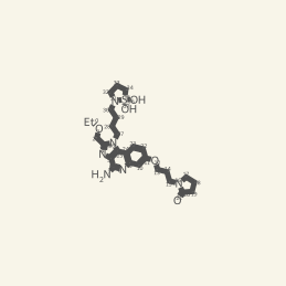 CCOCc1nc2c(N)nc3cc(OCCCN4CCCC4=O)ccc3c2n1CCCCN1CCCS1(O)O